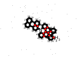 CC1(C)c2ccccc2-c2c(-c3ccccc3N(c3ccc(-c4cccc5cccc(-c6ccccc6)c45)cc3)c3ccccc3-c3cccc4oc5ccccc5c34)cccc21